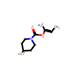 C/C=C(\C)OC(=O)N1CCC(S)CC1